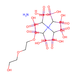 N.O=P(O)(O)C([N+](C(P(=O)(O)O)P(=O)(O)O)(C(P(=O)(O)O)P(=O)(O)O)C(P(=O)(O)O)P(=O)(O)OCCOCCO)P(=O)(O)O